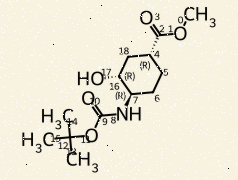 COC(=O)[C@@H]1CC[C@@H](NC(=O)OC(C)(C)C)[C@H](O)C1